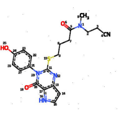 CN(CCC#N)C(=O)CCCSc1nc2cc[nH]c2c(=O)n1-c1ccc(O)cc1